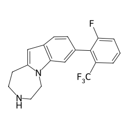 Fc1cccc(C(F)(F)F)c1-c1ccc2cc3n(c2c1)CCNCC3